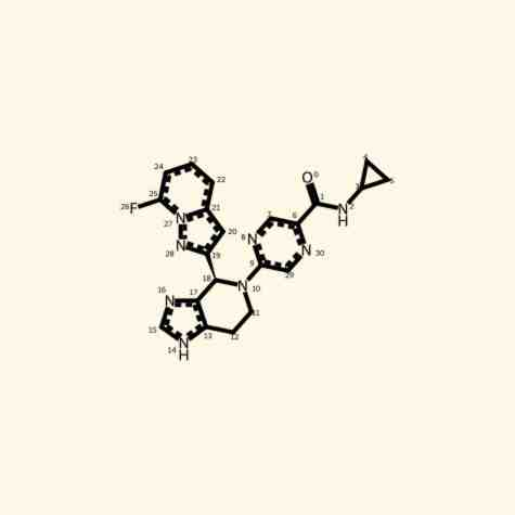 O=C(NC1CC1)c1cnc(N2CCc3[nH]cnc3[C@H]2c2cc3cccc(F)n3n2)cn1